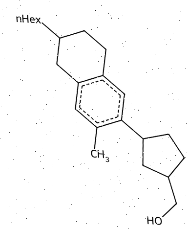 CCCCCCC1CCc2cc(C3CCC(CO)C3)c(C)cc2C1